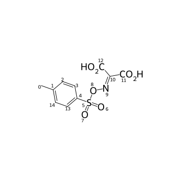 Cc1ccc(S(=O)(=O)ON=C(C(=O)O)C(=O)O)cc1